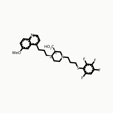 COc1ccc2nccc(CCC[C@@H]3CCN(CCCSc4c(F)cc(F)c(F)c4F)C[C@@H]3C(=O)O)c2c1